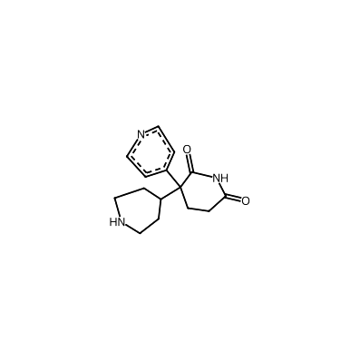 O=C1CCC(c2ccncc2)(C2CCNCC2)C(=O)N1